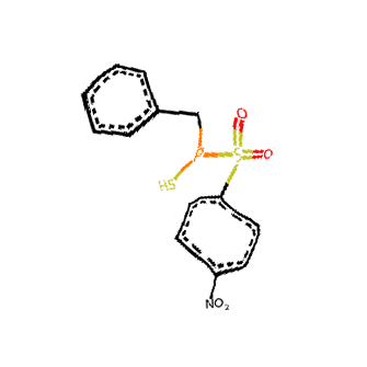 O=[N+]([O-])c1ccc(S(=O)(=O)P(S)Cc2ccccc2)cc1